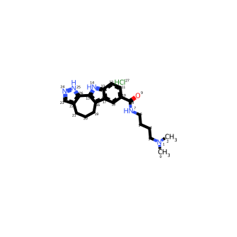 CN(C)CCCCNC(=O)c1ccc2[nH]c3c(c2c1)CCCc1cn[nH]c1-3.Cl